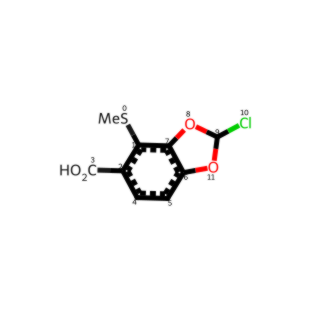 CSc1c(C(=O)O)ccc2c1OC(Cl)O2